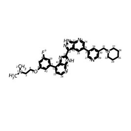 CN(C)CCOc1cc(F)cc(-c2ccnc3[nH]c(-c4n[nH]c5ncc(-c6cncc(CN7CCCCC7)c6)cc45)nc23)c1